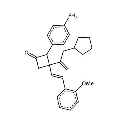 C=C(CC1CCCC1)C1(/C=C/c2ccccc2OC)CC(=O)C1c1ccc(P)cc1